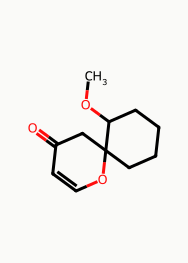 COC1CCCCC12CC(=O)C=CO2